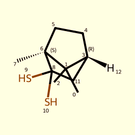 CC1(C)[C@@H]2CC[C@]1(C)C(S)(S)C2